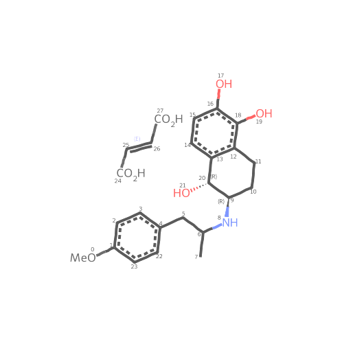 COc1ccc(CC(C)N[C@@H]2CCc3c(ccc(O)c3O)[C@H]2O)cc1.O=C(O)/C=C/C(=O)O